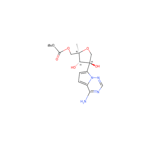 CC(C)COC(=O)OC[C@@]1(C)OC[C@](O)(c2ccc3c(N)ncnn23)[C@@H]1O